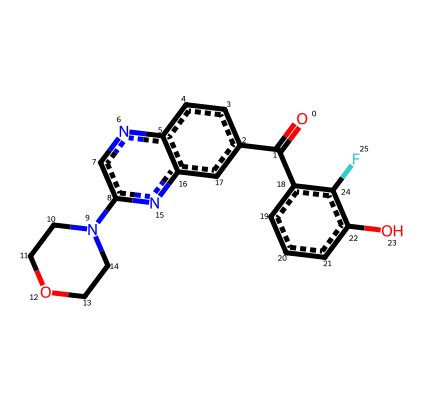 O=C(c1ccc2ncc(N3CCOCC3)nc2c1)c1cccc(O)c1F